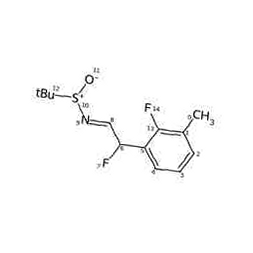 Cc1cccc(C(F)/C=N/[S+]([O-])C(C)(C)C)c1F